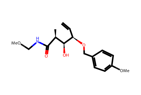 C=C[C@@H](OCc1ccc(OC)cc1)[C@@H](O)[C@H](C)C(=O)NCOC